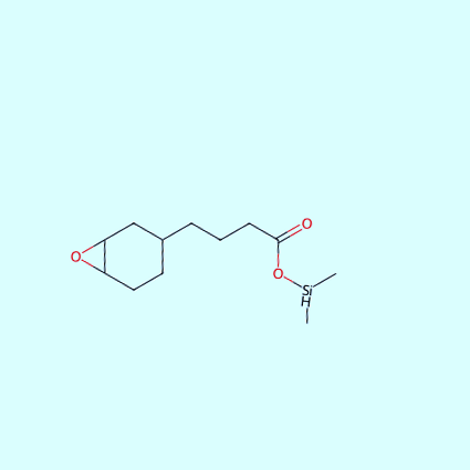 C[SiH](C)OC(=O)CCCC1CCC2OC2C1